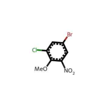 COc1c(Cl)cc(Br)cc1[N+](=O)[O-]